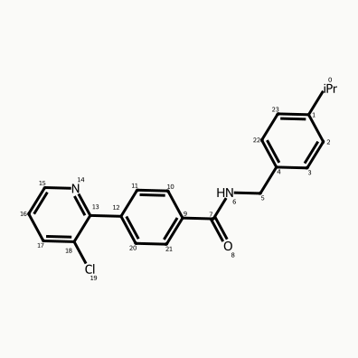 CC(C)c1ccc(CNC(=O)c2ccc(-c3ncccc3Cl)cc2)cc1